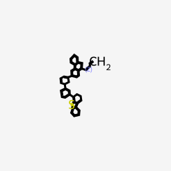 C=C/C=C\c1cc2ccccc2c2cc(C3=CC=CC(c4cccc(C5=c6sc7ccccc7c6=CCC5)c4)C3)ccc12